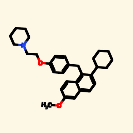 COc1ccc2c(Cc3ccc(OCCN4CCCCC4)cc3)c(C3CCCCC3)ccc2c1